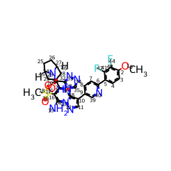 COc1ccc(-c2ccc(-c3cnn4c(N)c(S(C)(=O)=O)c(C5C[C@H]6CC[C@@H](C5)N6C(=O)c5nnc[nH]5)nc34)cn2)c(F)c1F